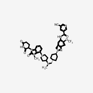 CN(C[C@H]1CC[C@H](n2cc3cc(NC(=O)c4cncc(C#N)c4)c(OC(F)(F)F)cc3n2)CC1)C1CCN(c2cccc3c2n(C)c(=O)n3C2CCC(=O)NC2=O)CC1